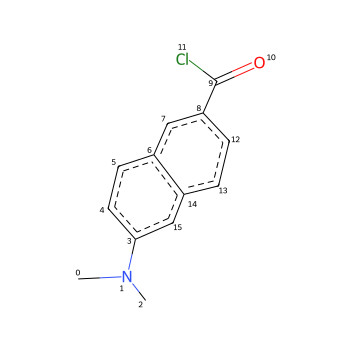 CN(C)c1ccc2cc(C(=O)Cl)ccc2c1